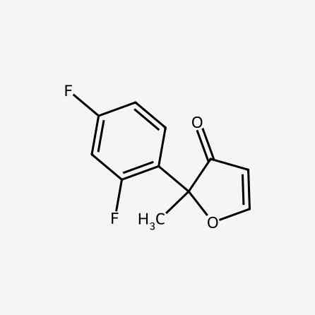 CC1(c2ccc(F)cc2F)OC=CC1=O